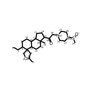 CCCC1(CO)C(CC)CCC2C3CCC(C(=O)CN4CCN([S+](C)[O-])CC4)C3(C)CCC21